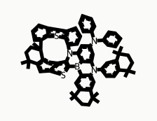 CC1(C)CCC(C)(C)c2cc(N3c4cc5c(cc4B4c6sc7cc8c9cc7c6N(c6cc(N(c7ccccc7)c7ccccc7)cc3c64)c3cccc4c3sc3c(cccc34)C9(C)CCC8(C)C)C(C)(C)CCC5(C)C)ccc21